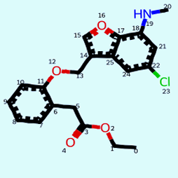 CCOC(=O)Cc1ccccc1OCc1coc2c(NC)cc(Cl)cc12